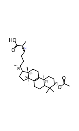 CC(=O)O[C@H]1CC[C@]2(C)C3=C(CCC2C1(C)C)[C@@]1(C)CCC([C@H](C)CC/C=C(/C)C(=O)O)[C@]1(C)CC3